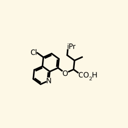 CC(C)CC(C)C(Oc1ccc(Cl)c2cccnc12)C(=O)O